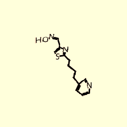 O/N=C\c1csc(CCCCc2cccnc2)n1